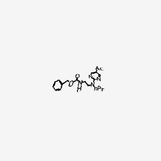 CCCN(CCNC(=O)OCc1ccccc1)c1ncc(C(C)=O)cn1